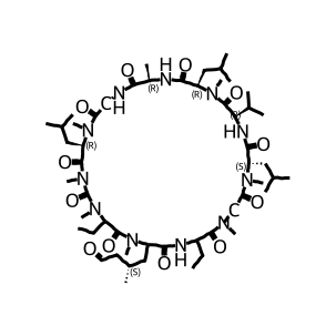 CCC1NC(=O)C(C[C@H](C)CC=O)N(C)C(=O)C(CC)N(C)C(=O)N(C)C(=O)[C@@H](CC(C)C)N(C)C(=O)CNC(=O)[C@@H](C)NC(=O)[C@@H](CC(C)C)N(C)C(=O)[C@@H](C(C)C)NC(=O)[C@H](CC(C)C)N(C)C(=O)CN(C)C1=O